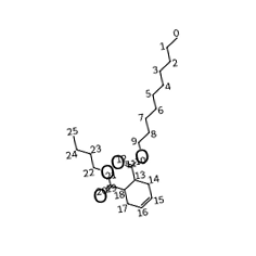 CCCCCCCCCCOC(=O)C1CC=CCC1C(=O)OCCCC